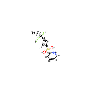 CC(F)(F)C12CC(S(=O)(=O)c3ccccn3)(C1)C2